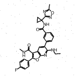 CCNc1nc2oc(-c3ccc(F)cc3)c(C(=O)NC)c2cc1-c1cccc(C(=O)NC2(c3noc(C)n3)CC2)c1